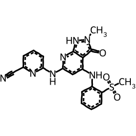 Cn1[nH]c2nc(Nc3cccc(C#N)n3)cc(Nc3ccccc3S(C)(=O)=O)c2c1=O